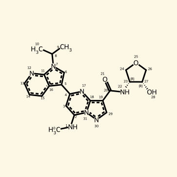 CNc1cc(-c2cn(C(C)C)c3ncccc23)nc2c(C(=O)N[C@@H]3COC[C@@H]3O)cnn12